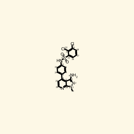 Cn1nc(N)c2c(-c3ccc(NS(=O)(=O)c4cccc(Cl)c4Cl)cc3)ccnc21